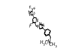 CN(C)Cc1ccc(-c2cn(Cc3ncc(-c4nnc(C(F)F)o4)cc3F)nn2)cc1